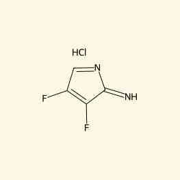 Cl.N=C1N=CC(F)=C1F